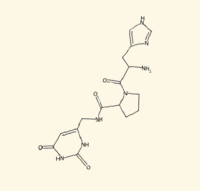 NC(Cc1c[nH]cn1)C(=O)N1CCCC1C(=O)NCc1cc(=O)[nH]c(=O)[nH]1